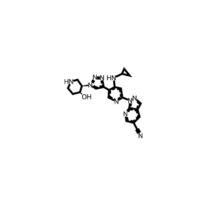 N#Cc1cnc2c(cnn2-c2cc(NC3CC3)c(-c3cn([C@@H]4CNCC[C@H]4O)nn3)cn2)c1